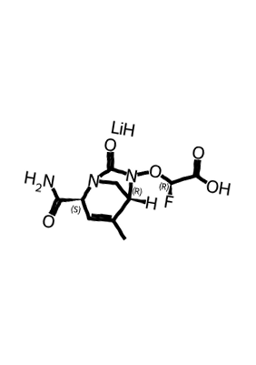 CC1=C[C@@H](C(N)=O)N2C[C@@H]1N(O[C@H](F)C(=O)O)C2=O.[LiH]